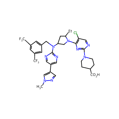 CCC1CC(N(Cc2cc(C(F)(F)F)cc(C(F)(F)F)c2)c2ncc(-c3cnn(C)c3)cn2)CN1c1nc(N2CCC(C(=O)O)CC2)ncc1Cl